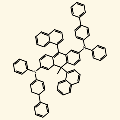 CC1(c2cccc3ccccc23)c2ccc(N(c3ccccc3)c3ccc(-c4ccccc4)cc3)cc2C(c2cccc3ccccc23)=C2C=CC(N(C3=CCC(c4ccccc4)C=C3)c3ccccc3)=CC21